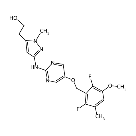 COc1cc(C)c(F)c(COc2cnc(Nc3cc(CCO)n(C)n3)nc2)c1F